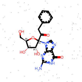 Nc1nc2c(ncn2[C@]2(C(=O)Cc3ccccc3)O[C@H](CO)[C@@H](O)[C@H]2O)c(=O)[nH]1